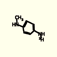 [3H]Nc1ccc(NC)cc1